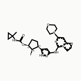 CC1(NC(=O)O[C@H]2CC[C@@H](c3cc(Nc4nc(N5CCOCC5)cc5nccn45)n[nH]3)[C@H]2F)CC1